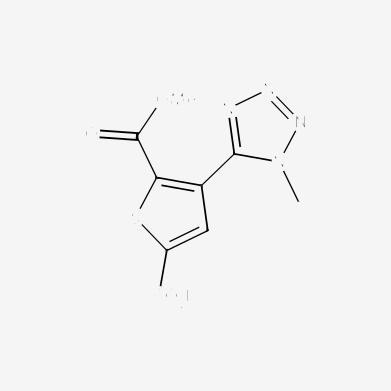 COC(=O)c1sc(C(=O)O)cc1-c1nnnn1C